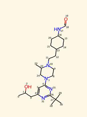 CC(O)Cc1cc(N2CCN(CCC3CCC(NC=O)CC3)C(C)C2)nc(C(C)(C)C)n1